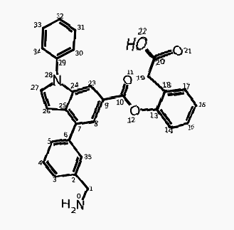 NCc1cccc(-c2cc(C(=O)Oc3ccccc3CC(=O)O)cc3c2ccn3-c2ccccc2)c1